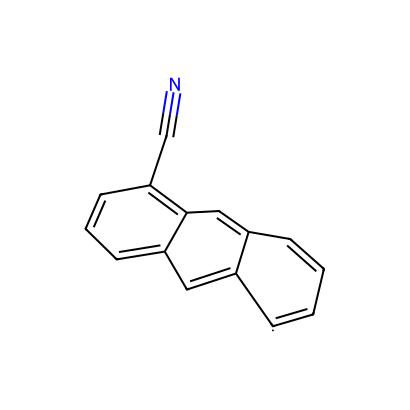 N#Cc1cccc2cc3[c]cccc3cc12